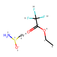 CC(C)[S+](N)[O-].CCOC(=O)C(F)(F)F